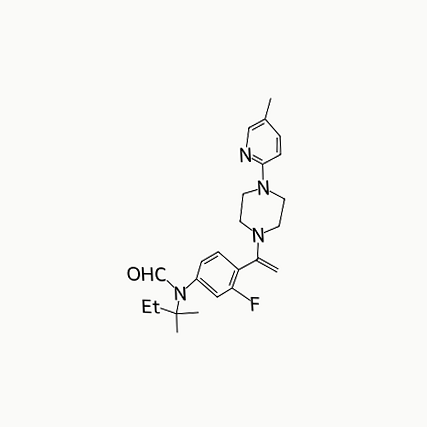 C=C(c1ccc(N(C=O)C(C)(C)CC)cc1F)N1CCN(c2ccc(C)cn2)CC1